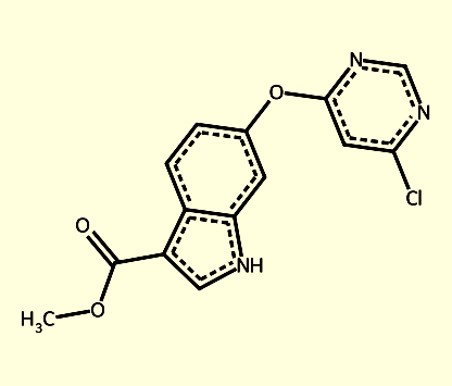 COC(=O)c1c[nH]c2cc(Oc3cc(Cl)ncn3)ccc12